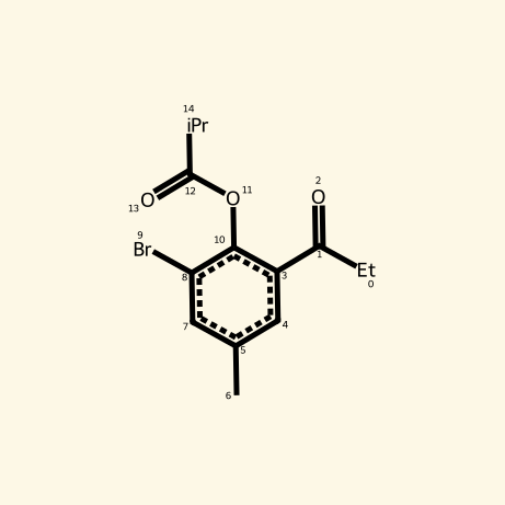 CCC(=O)c1cc(C)cc(Br)c1OC(=O)C(C)C